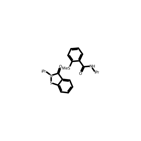 CC(C)n1sc2ccccc2c1=O.CSc1ccccc1C(=O)NC(C)C